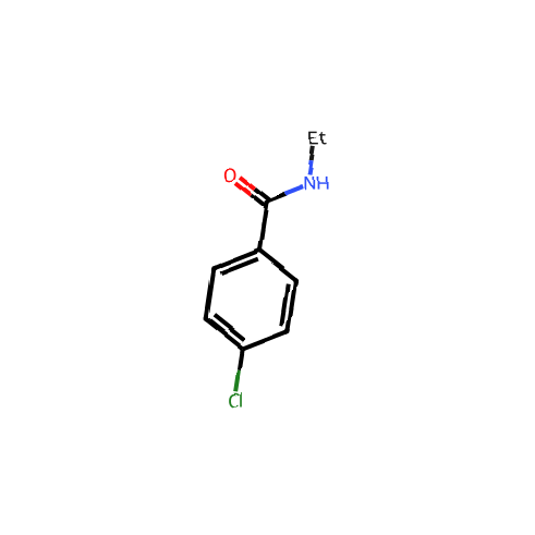 CCNC(=O)c1ccc(Cl)cc1